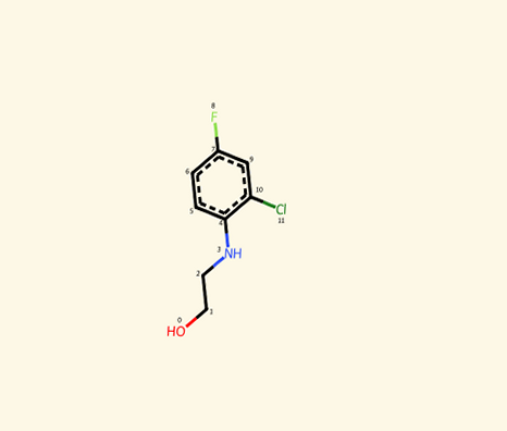 OCCNc1ccc(F)cc1Cl